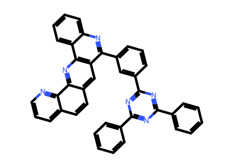 c1ccc(-c2nc(-c3ccccc3)nc(-c3cccc(-c4nc5ccccc5c5nc6c(ccc7cccnc76)cc45)c3)n2)cc1